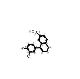 O=C(O)c1ccc2c(c1)C(c1ccc(F)c(Cl)c1)=CCC2